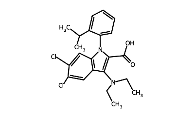 CCN(CC)c1c(C(=O)O)n(-c2ccccc2C(C)C)c2cc(Cl)c(Cl)cc12